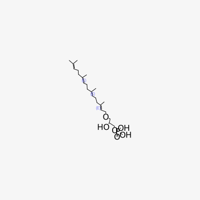 CC(C)=CCC/C(C)=C/CC/C(C)=C/CC/C(C)=C/COCC(O)COP(=O)(O)O